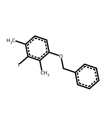 Cc1ccc(OCc2ccccc2)c(C)c1I